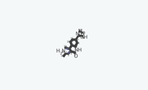 C=C/C=c1/c(=O)[nH]c2cc(-c3nnn[nH]3)ccc2/c1=C/N